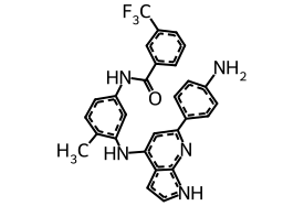 Cc1ccc(NC(=O)c2cccc(C(F)(F)F)c2)cc1Nc1cc(-c2ccc(N)cc2)nc2[nH]ccc12